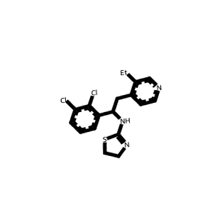 CCc1cnccc1CC(NC1=NCCS1)c1cccc(Cl)c1Cl